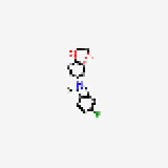 Fc1ccc2c(c1)CN(c1ccc3c(c1)OCCO3)[Se]2